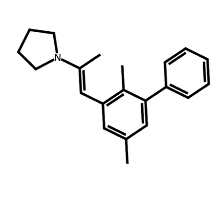 CC(=Cc1cc(C)cc(-c2ccccc2)c1C)N1CCCC1